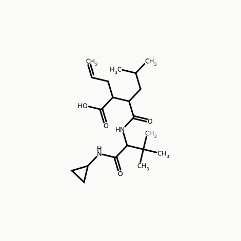 C=CCC(C(=O)O)C(CC(C)C)C(=O)NC(C(=O)NC1CC1)C(C)(C)C